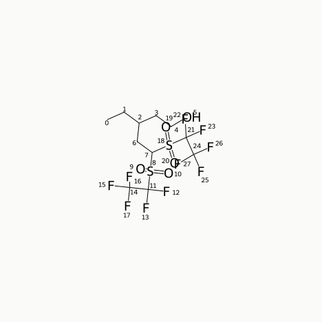 CCC(CCO)CC(S(=O)(=O)C(F)(F)C(F)(F)F)S(=O)(=O)C(F)(F)C(F)(F)F